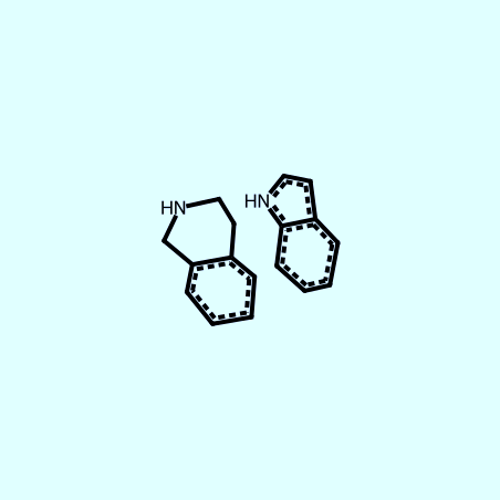 c1ccc2[nH]ccc2c1.c1ccc2c(c1)CCNC2